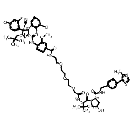 COc1cc(C(=O)NCCOCCOCCOCC(=O)N[C@H](C(=O)N2C[C@H](O)C[C@H]2C(=O)NCc2ccc(-c3scnc3C)cc2)C(C)(C)C)ccc1NC(=O)[C@@H]1N[C@@H](CC(C)(C)C)[C@](C#N)(c2ccc(Cl)cc2F)[C@H]1c1cccc(Cl)c1F